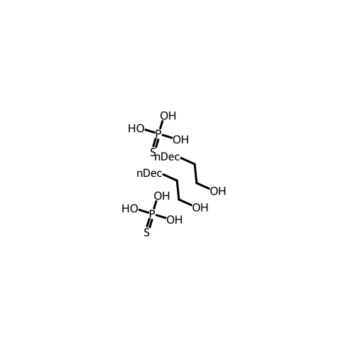 CCCCCCCCCCCCO.CCCCCCCCCCCCO.OP(O)(O)=S.OP(O)(O)=S